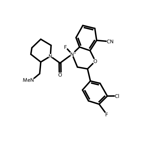 CNCC1CCCCN1C(=O)[N+]1(F)CC(c2ccc(F)c(Cl)c2)Oc2c(C#N)cccc21